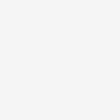 CO.OO